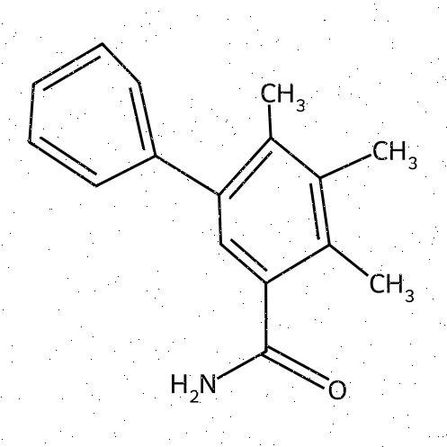 Cc1c(C(N)=O)cc(-c2ccccc2)c(C)c1C